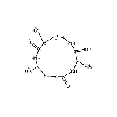 CC1CCC(=O)NC(C)C(=O)NCNC(C)C(=O)N1